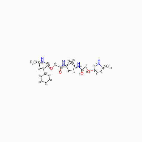 O=C(COC1CCC(C(F)(F)F)NC1)NC12CCC(NC(=O)COC3CNC(C(F)(F)F)CC3C3CCCCC3)(CC1)C2